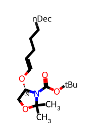 CCCCCCCCCCCCCC=CO[C@H]1COC(C)(C)N1C(=O)OC(C)(C)C